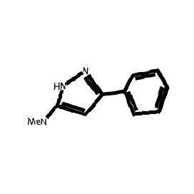 [CH]Nc1cc(-c2ccccc2)n[nH]1